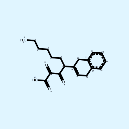 CCCCCCC(C(=O)C(=O)C(=O)O)C1=CCc2ccccc2C1